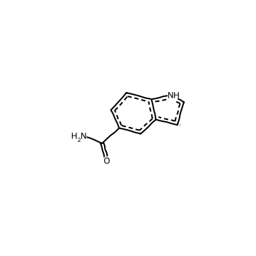 NC(=O)c1ccc2[nH]c[c]c2c1